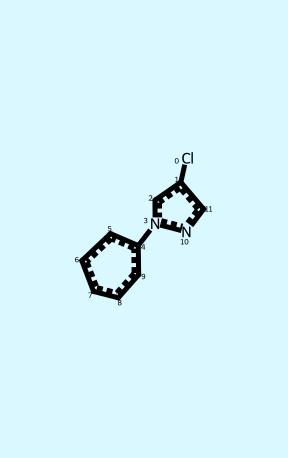 Clc1[c]n(-c2ccccc2)nc1